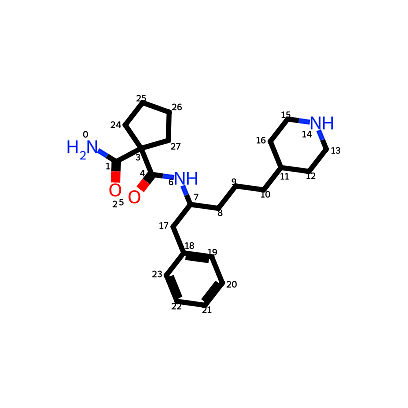 NC(=O)C1(C(=O)NC(CCCC2CCNCC2)Cc2ccccc2)CCCC1